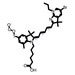 CCC[n+]1cc(Br)cc2c1N=C(/C=C/C=C/C=C1/N(CCCCCC(=O)O)c3c(C)cc(SOO[O-])cc3C1(C)C)C2(C)C